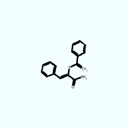 C=C(S/C(=C\c1ccccc1)C(N)=O)c1ccccc1